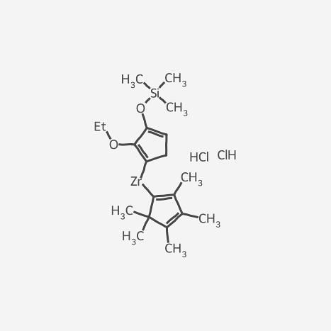 CCOC1=[C]([Zr][C]2=C(C)C(C)=C(C)C2(C)C)CC=C1O[Si](C)(C)C.Cl.Cl